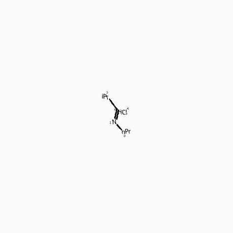 CCCN=CC(C)C.Cl